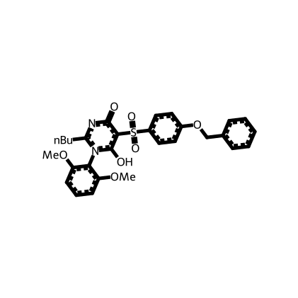 CCCCc1nc(=O)c(S(=O)(=O)c2ccc(OCc3ccccc3)cc2)c(O)n1-c1c(OC)cccc1OC